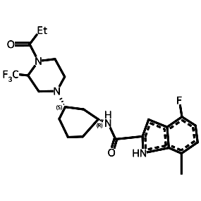 CCC(=O)N1CCN([C@H]2CCC[C@@H](NC(=O)c3cc4c(F)ccc(C)c4[nH]3)C2)CC1C(F)(F)F